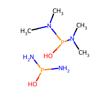 CN(C)P(O)N(C)C.NP(N)O